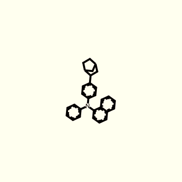 c1ccc(N(c2ccc(C3CC4CCC3C4)cc2)c2cccc3ccccc23)cc1